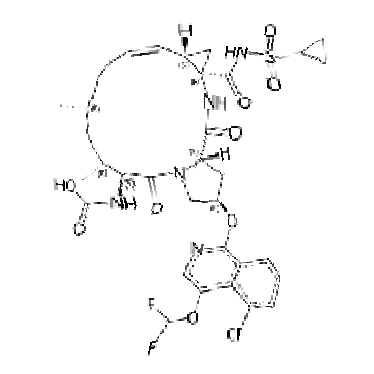 C[C@@H]1CCC=C[C@@H]2C[C@@]2(C(=O)NS(=O)(=O)C2CC2)NC(=O)[C@@H]2C[C@@H](Oc3ncc(OC(F)F)c4c(Cl)cccc34)CN2C(=O)[C@@H](NC(=O)O)[C@H](C)C1